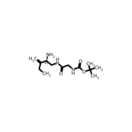 C=C(CC)[C@@H](N)CNC(=O)CNC(=O)OC(C)(C)C